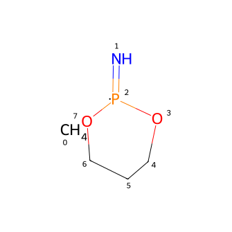 C.N=[P]1OCCCO1